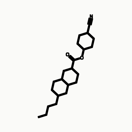 CCCCC1CCC2CC(C(=O)OC3CCC(C#N)CC3)CCC2C1